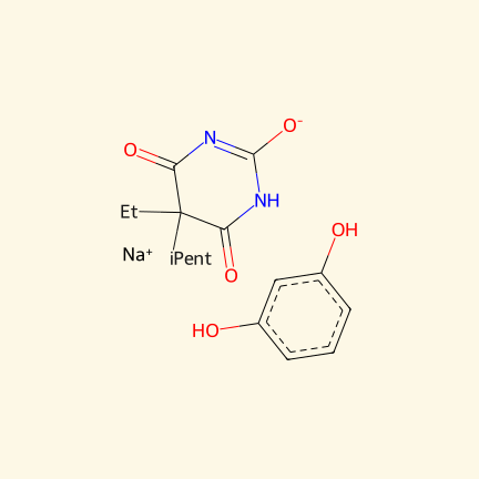 CCCC(C)C1(CC)C(=O)N=C([O-])NC1=O.Oc1cccc(O)c1.[Na+]